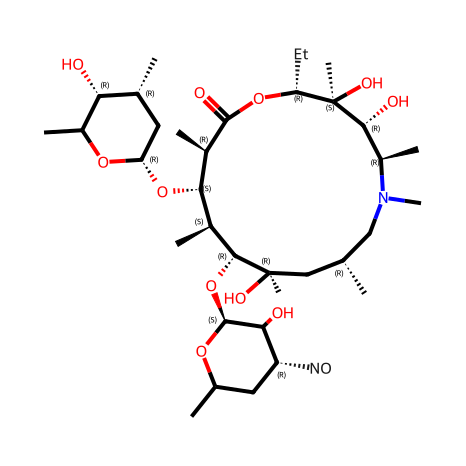 CC[C@H]1OC(=O)[C@H](C)[C@@H](O[C@H]2C[C@@H](C)[C@@H](O)C(C)O2)[C@H](C)[C@@H](O[C@@H]2OC(C)C[C@@H](N=O)C2O)[C@](C)(O)C[C@@H](C)CN(C)[C@H](C)[C@@H](O)[C@]1(C)O